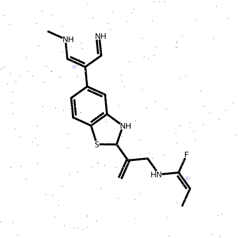 C=C(CN/C(F)=C\C)C1Nc2cc(/C(C=N)=C/NC)ccc2S1